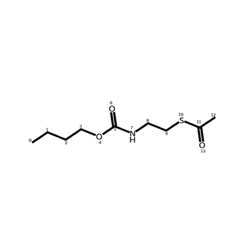 CCCCOC(=O)NCCSC(C)=O